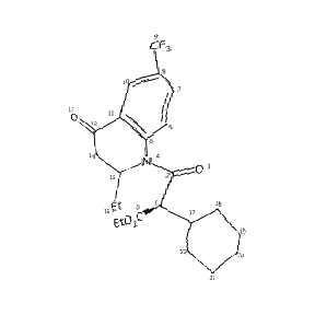 CCOC(=O)[C@@H](C(=O)N1c2ccc(C(F)(F)F)cc2C(=O)CC1CC)C1CCCCC1